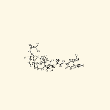 C=C(CC[C@@H](C)C1CC[C@@]2(C)C3CCC4C(C)(C)C(OC(=O)/C=C/c5ccc(O)c(OC)c5)CCC45C(C)C35CCC12C)C(C)C